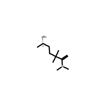 C=C(N(C)C)C(C)(C)CC[C@H](C)CCCC